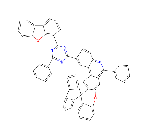 c1ccc(-c2nc(-c3ccc4nc(-c5ccccc5)c5cc6c(cc5c4c3)C3(c4ccccc4O6)c4ccccc4-c4ccccc43)nc(-c3cccc4c3oc3ccccc34)n2)cc1